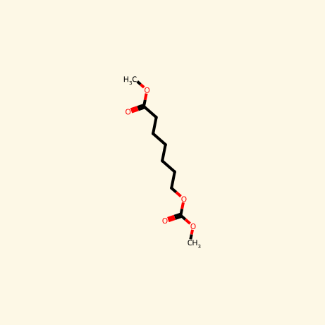 COC(=O)CCCCCCOC(=O)OC